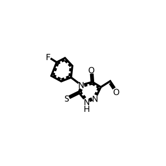 O=Cc1n[nH]c(=S)n(-c2ccc(F)cc2)c1=O